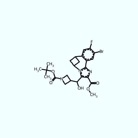 COC(=O)c1nc2n(c1C(O)C1CN(C(=O)OC(C)(C)C)C1)C1CC(C1)c1cc(F)c(Br)cc1-2